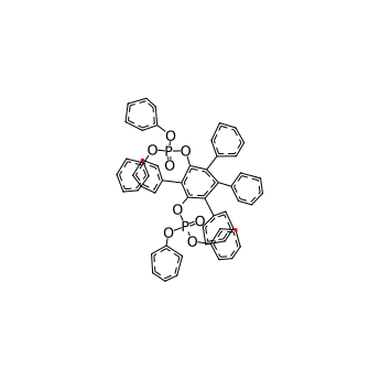 O=P(Oc1ccccc1)(Oc1ccccc1)Oc1c(-c2ccccc2)c(OP(=O)(Oc2ccccc2)Oc2ccccc2)c(-c2ccccc2)c(-c2ccccc2)c1-c1ccccc1